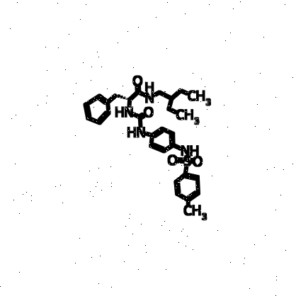 CCC(CC)CNC(=O)[C@@H](Cc1ccccc1)NC(=O)Nc1ccc(NS(=O)(=O)c2ccc(C)cc2)cc1